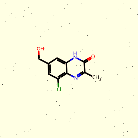 Cc1nc2c(Cl)cc(CO)cc2[nH]c1=O